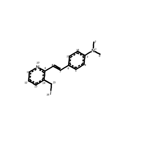 CN(C)c1ccc(C=Cc2ncccc2CI)cc1